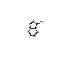 O=C1C=Cc2ccpcc21